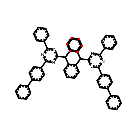 c1ccc(-c2ccc(-c3nc(-c4ccccc4)nc(C45c6ccccc6C(c6nc(-c7ccccc7)nc(-c7ccc(-c8ccccc8)cc7)n6)(c6ccccc64)c4ccccc45)n3)cc2)cc1